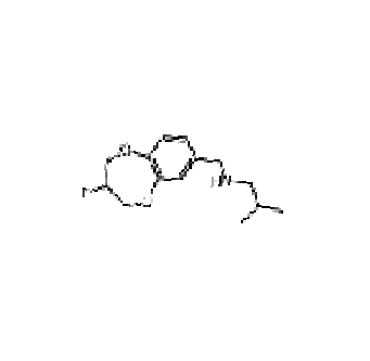 CC(C)CNCc1ccc2c(c1)OCC(F)CO2